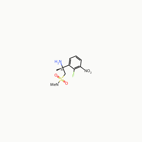 CNS(=O)(=O)C[C@](C)(N)c1cccc([N+](=O)[O-])c1F